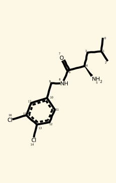 CC(C)C[C@@H](N)C(=O)NCc1ccc(Cl)c(Cl)c1